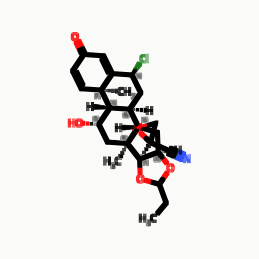 CCC1O[C@@H]2C[C@H]3[C@@H]4C[C@H](Cl)C5=CC(=O)C=C[C@]5(C)[C@H]4[C@@H](O)C[C@]3(C)[C@]2(C2(C#N)CO2)O1